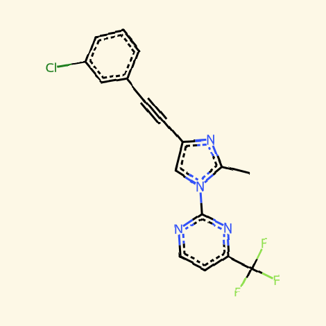 Cc1nc(C#Cc2cccc(Cl)c2)cn1-c1nccc(C(F)(F)F)n1